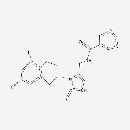 O=C(NCc1c[nH]c(=S)n1[C@H]1CCc2c(F)cc(F)cc2C1)c1cccnc1